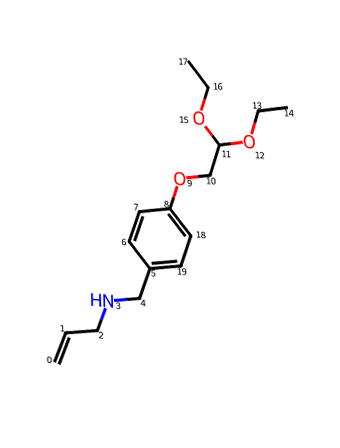 C=CCNCc1ccc(OCC(OCC)OCC)cc1